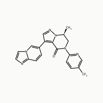 C[C@H]1CN(c2ccc(C(F)(F)F)cn2)C(=O)c2c(-c3ccc4nccn4c3)cnn21